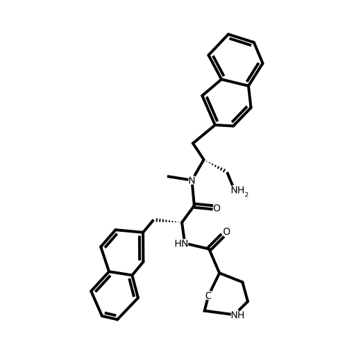 CN(C(=O)[C@@H](Cc1ccc2ccccc2c1)NC(=O)C1CCNCC1)[C@@H](CN)Cc1ccc2ccccc2c1